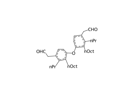 CCCCCCCCc1c(Oc2ccc(CC=O)c(CCC)c2CCCCCCCC)ccc(CC=O)c1CCC